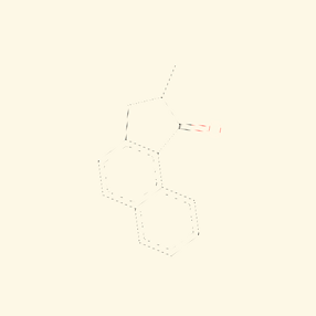 CC1Cc2ccc3ccccc3c2C1=O